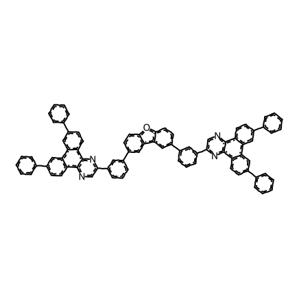 c1ccc(-c2ccc3c(c2)c2cc(-c4ccccc4)ccc2c2nc(-c4cccc(-c5ccc6oc7ccc(-c8cccc(-c9cnc%10c%11ccc(-c%12ccccc%12)cc%11c%11cc(-c%12ccccc%12)ccc%11c%10n9)c8)cc7c6c5)c4)cnc32)cc1